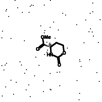 COC(=O)[C@@H]1CCOC(=O)N1